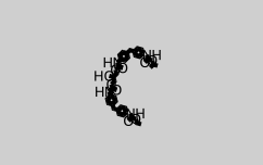 CCOC(=O)Nc1ccc(Cc2ccc(NC(=O)OCC(O)COC(=O)Nc3ccc(Cc4ccc(NC(=O)OC(C)C)cc4)cc3)cc2)cc1